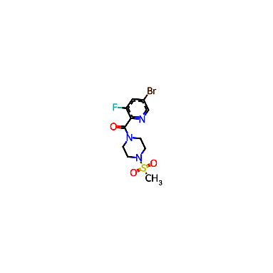 CS(=O)(=O)N1CCN(C(=O)c2ncc(Br)cc2F)CC1